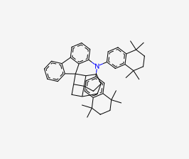 CC1(C)CCC(C)(C)c2cc(N(c3ccc4c(c3)C(C)(C)CCC4(C)C)c3cccc4c3C3(c5ccccc5-4)C4CC5CC6CC3C64C5)ccc21